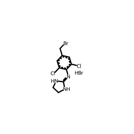 Br.Clc1cc(CBr)cc(Cl)c1N=C1NCCN1